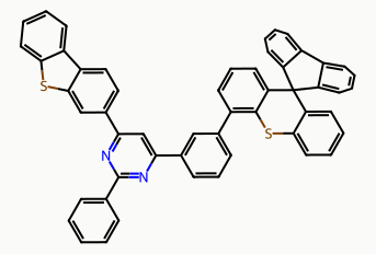 c1ccc(-c2nc(-c3cccc(-c4cccc5c4Sc4ccccc4C54c5ccccc5-c5ccccc54)c3)cc(-c3ccc4c(c3)sc3ccccc34)n2)cc1